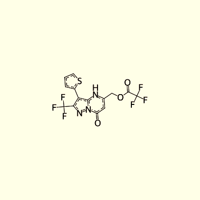 O=C(OCc1cc(=O)n2nc(C(F)(F)F)c(-c3cccs3)c2[nH]1)C(F)(F)F